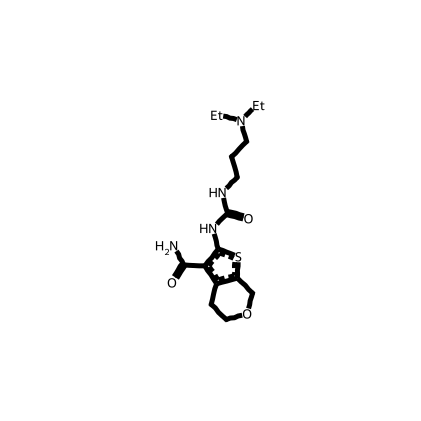 CCN(CC)CCCNC(=O)Nc1sc2c(c1C(N)=O)CCOC2